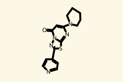 O=c1cc(N2CCCCC2)nc2sc(-c3ccncc3)nn12